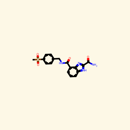 CS(=O)(=O)c1ccc(CNC(=O)c2cccc3[nH]c(C(N)=O)nc23)cc1